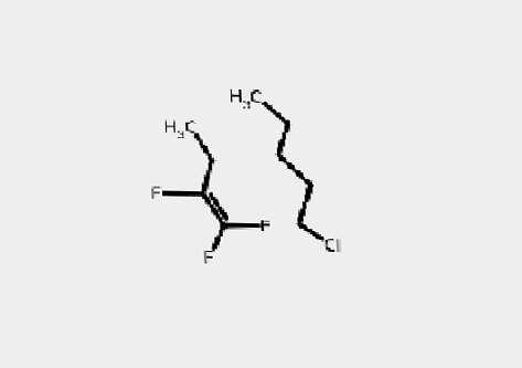 CCC(F)=C(F)F.CCCCCCl